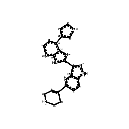 C1=C(c2ccc3[nH]nc(-c4nc5c(-c6ccsc6)ccnc5[nH]4)c3n2)CCNC1